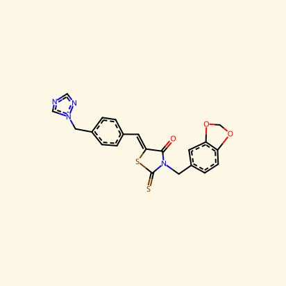 O=C1C(=Cc2ccc(Cn3cncn3)cc2)SC(=S)N1Cc1ccc2c(c1)OCO2